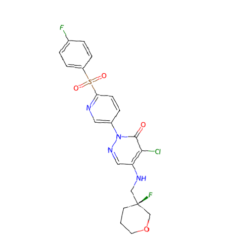 O=c1c(Cl)c(NC[C@@]2(F)CCCOC2)cnn1-c1ccc(S(=O)(=O)c2ccc(F)cc2)nc1